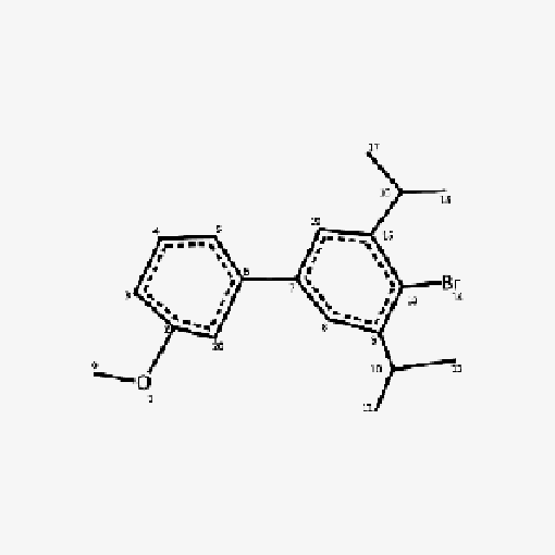 COc1cccc(-c2cc(C(C)C)c(Br)c(C(C)C)c2)c1